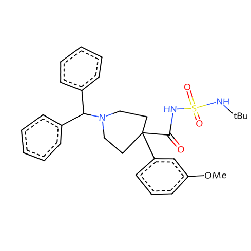 COc1cccc(C2(C(=O)NS(=O)(=O)NC(C)(C)C)CCN(C(c3ccccc3)c3ccccc3)CC2)c1